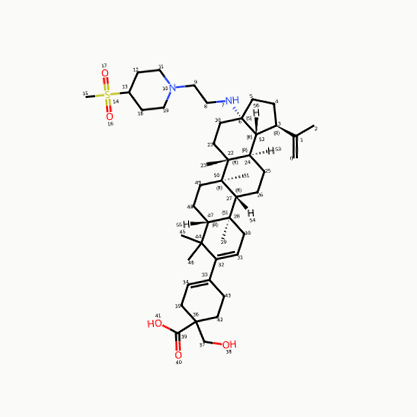 C=C(C)[C@@H]1CC[C@]2(NCCN3CCC(S(C)(=O)=O)CC3)CC[C@]3(C)[C@H](CC[C@@H]4[C@@]5(C)CC=C(C6=CCC(CO)(C(=O)O)CC6)C(C)(C)[C@@H]5CC[C@]43C)[C@@H]12